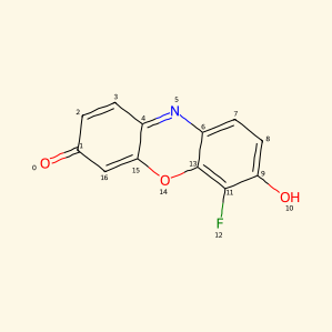 O=c1ccc2nc3ccc(O)c(F)c3oc-2c1